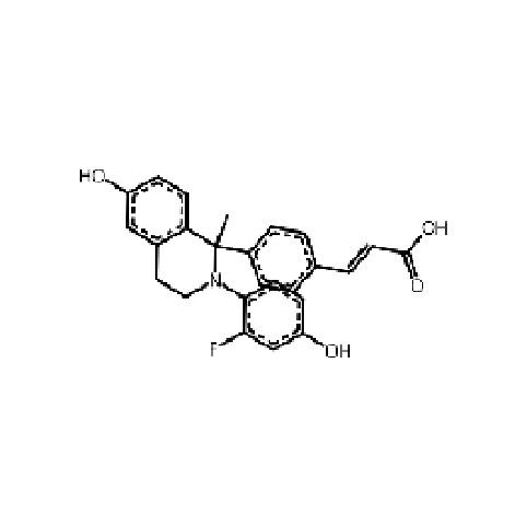 CC1(c2ccc(/C=C/C(=O)O)cc2)c2ccc(O)cc2CCN1c1ccc(O)cc1F